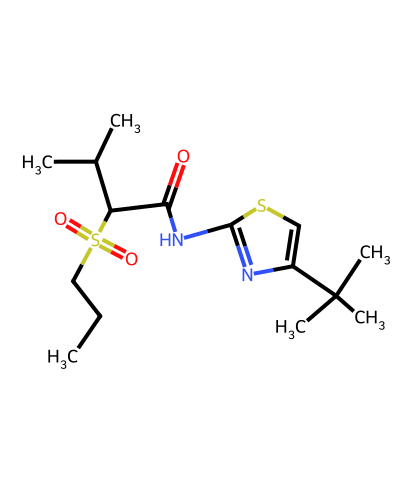 CCCS(=O)(=O)C(C(=O)Nc1nc(C(C)(C)C)cs1)C(C)C